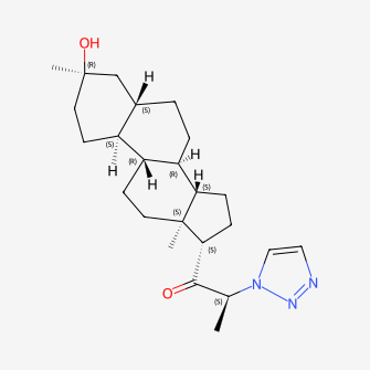 C[C@@H](C(=O)[C@H]1CC[C@H]2[C@@H]3CC[C@H]4C[C@](C)(O)CC[C@@H]4[C@H]3CC[C@]12C)n1ccnn1